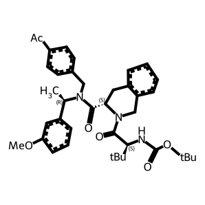 COc1cccc([C@@H](C)N(Cc2ccc(C(C)=O)cc2)C(=O)[C@@H]2Cc3ccccc3CN2C(=O)[C@@H](NC(=O)OC(C)(C)C)C(C)(C)C)c1